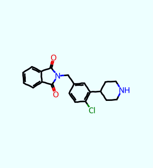 O=C1c2ccccc2C(=O)N1Cc1ccc(Cl)c(C2CCNCC2)c1